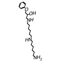 NCCCCCCNCCCCCCNCC(O)COc1ccccc1